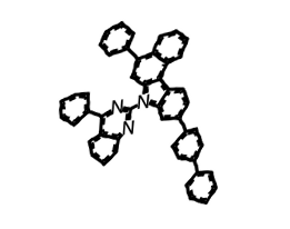 c1ccc(-c2ccc(-c3ccc4c5c6ccccc6c(-c6ccccc6)cc5n(-c5nc(-c6ccccc6)c6ccccc6n5)c4c3)cc2)cc1